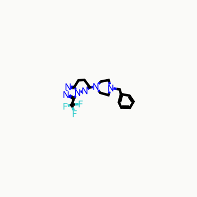 FC(F)(F)c1nnc2n1N=C(N1CCN(Cc3ccccc3)CC1)CC2